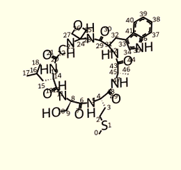 CSCC[C@@H]1NC(=O)[C@@H](CO)NC(=O)[C@H](CC(C)C)NC(=O)CNC2(COC2)NC(=O)C(Cc2c[nH]c3ccccc23)NC(=O)[C@H](C)NC1=O